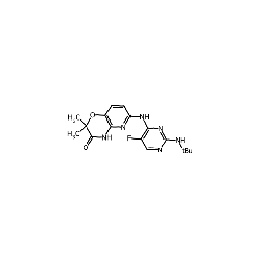 CC(C)(C)Nc1ncc(F)c(Nc2ccc3c(n2)NC(=O)C(C)(C)O3)n1